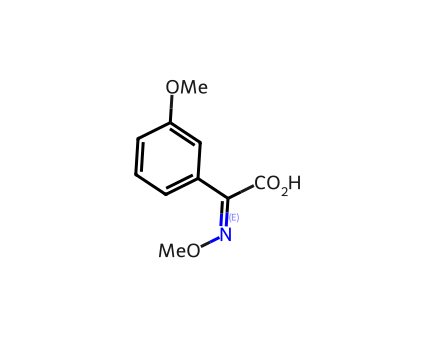 CO/N=C(/C(=O)O)c1cccc(OC)c1